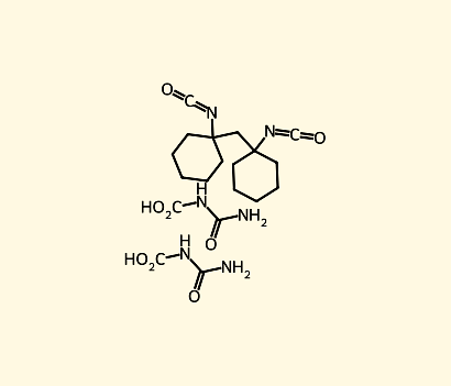 NC(=O)NC(=O)O.NC(=O)NC(=O)O.O=C=NC1(CC2(N=C=O)CCCCC2)CCCCC1